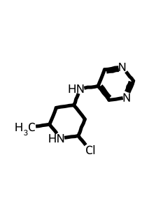 CC1CC(Nc2cncnc2)CC(Cl)N1